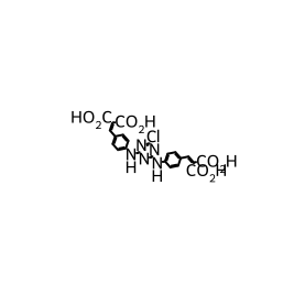 O=C(O)C(=Cc1ccc(Nc2nc(Cl)nc(Nc3ccc(C=C(C(=O)O)C(=O)O)cc3)n2)cc1)C(=O)O